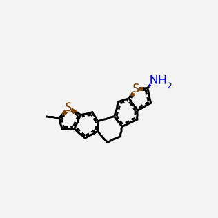 Cc1cc2cc3c(cc2s1)-c1cc2sc(N)cc2cc1CC3